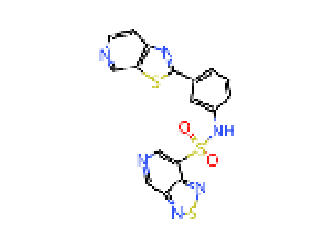 O=S(=O)(Nc1cccc(-c2nc3ccncc3s2)c1)c1cncc2nsnc12